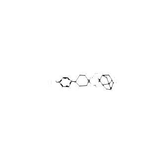 Oc1ccc(C2CCC3(CC2)OOC2(OO3)C3CC4CC(C3)CC2C4)cc1